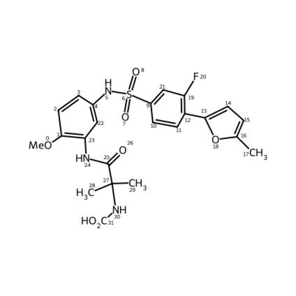 COc1ccc(NS(=O)(=O)c2ccc(-c3ccc(C)o3)c(F)c2)cc1NC(=O)C(C)(C)NC(=O)O